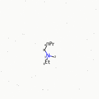 [CH2]CN(C)CCCC